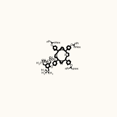 CCCCCCC(CCC)Oc1ccc(-c2c3nc(c(-c4ccc(OC(CCC)CCCCCC)cc4)c4ccc([nH]4)c(-c4ccc(OC(CCC)CCCCCC)cc4)c4nc(c(-c5ccc(Oc6c(C[N+](C)(C)C)cc(C[N+](C)(C)C)cc6C[N+](C)(C)C)cc5)c5ccc2[nH]5)C=C4)C=C3)cc1